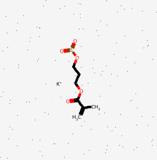 C=C(C)C(=O)OCCCO[S-](=O)=O.[K+]